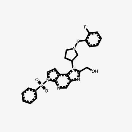 O=S(=O)(c1ccccc1)n1ccc2c1ncc1nc(CO)n(C3CCN(Sc4ccccc4F)C3)c12